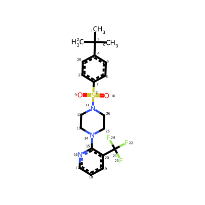 CC(C)(C)c1ccc(S(=O)(=O)N2CCN(c3ncccc3C(F)(F)F)CC2)cc1